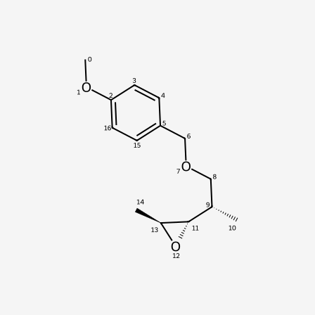 COc1ccc(COC[C@H](C)[C@@H]2O[C@H]2C)cc1